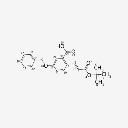 CC(C)(C)OC(=O)/C=C/c1ccc(OCc2ccccc2)cc1C(=O)O